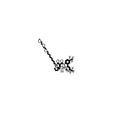 COCCOCCOCCCCCCCCN1C(=O)C(C(=O)Nc2ccc(C(F)(F)F)cc2-c2cc(C(F)(F)F)ncn2)=C(O)C2(C)CCCN12